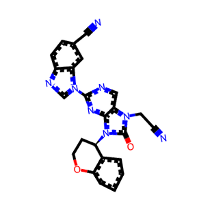 N#CCn1c(=O)n([C@@H]2CCOc3ccccc32)c2nc(-n3cnc4ccc(C#N)cc43)ncc21